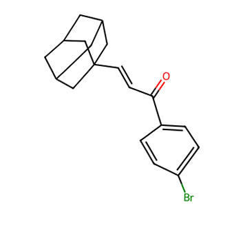 O=C(C=CC12CC3CC(CC(C3)C1)C2)c1ccc(Br)cc1